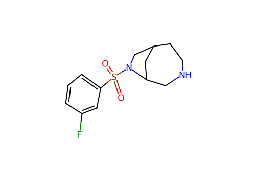 O=S(=O)(c1cccc(F)c1)N1CC2CCNCC1C2